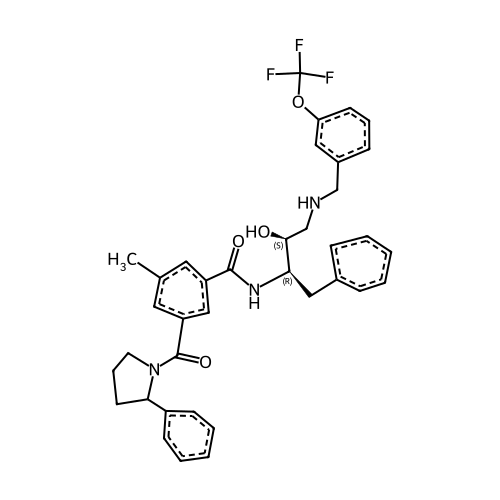 Cc1cc(C(=O)N[C@H](Cc2ccccc2)[C@@H](O)CNCc2cccc(OC(F)(F)F)c2)cc(C(=O)N2CCCC2c2ccccc2)c1